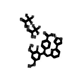 CCOc1cc(OC(C)C)c(F)c(N(Cc2cccc(-c3ccoc3)n2)c2ccc(C(N)=O)cc2)c1.O=C(O)C(F)(F)F.O=C(O)C(F)(F)F